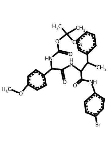 COc1ccc(C(NC(=O)OC(C)(C)C)C(=O)NC(C(=O)Nc2ccc(Br)cc2)C(C)c2ccccc2)cc1